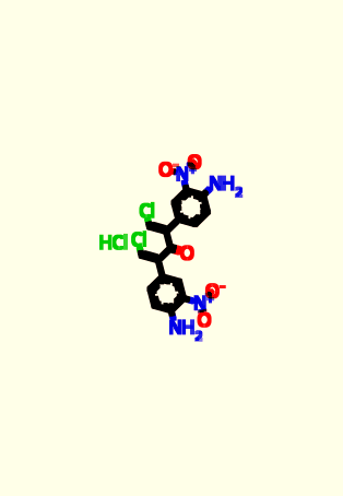 Cl.Nc1ccc(C(=CCl)C(=O)C(=CCl)c2ccc(N)c([N+](=O)[O-])c2)cc1[N+](=O)[O-]